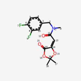 CN(Cc1ccc(F)c(F)c1)C(=O)C=C1OC(C)(C)OC1=O